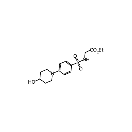 CCOC(=O)CNS(=O)(=O)c1ccc(N2CCC(O)CC2)cc1